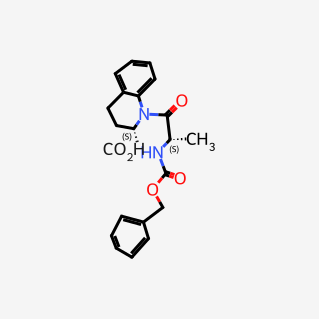 C[C@H](NC(=O)OCc1ccccc1)C(=O)N1c2ccccc2CC[C@H]1C(=O)O